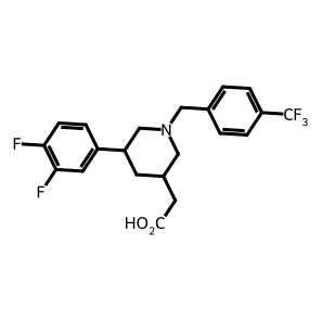 O=C(O)CC1CC(c2ccc(F)c(F)c2)CN(Cc2ccc(C(F)(F)F)cc2)C1